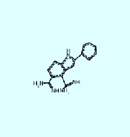 N=C(N)c1ccc2[nH]c(-c3ccccc3)cc2c1C(=N)N